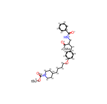 COC(=O)C(CNC(=O)c1ccccc1)Cc1ccc(OCCCCC2CCN(C(=O)OC(C)(C)C)CC2)cc1